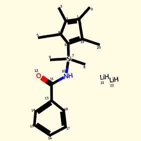 CC1=C(C)C(C)C([Si](C)(C)NC(=O)c2ccccc2)=C1C.[LiH].[LiH]